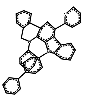 c1ccc(-c2ccc(-n3c4ccccc4c4c(-c5ccccn5)cc5c(c43)N(c3ccccc3)Cc3ccccc3-5)cc2)cc1